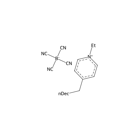 CCCCCCCCCCCc1cc[n+](CC)cc1.N#C[B-](C#N)(C#N)C#N